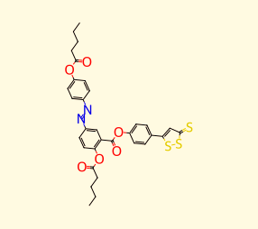 CCCCC(=O)Oc1ccc(/N=N/c2ccc(OC(=O)CCCC)c(C(=O)Oc3ccc(-c4cc(=S)ss4)cc3)c2)cc1